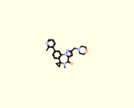 Cc1ncccc1-c1ccc2c(c1)-n1nc(CN3CCOCC3)cc1C(=O)N(C)C21CC1